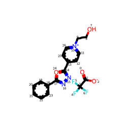 O=C([O-])C(F)(F)F.OCC[n+]1ccc(-c2nnc(-c3ccccc3)o2)cc1